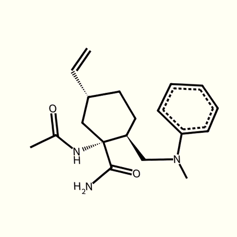 C=C[C@@H]1CC[C@@H](CN(C)c2ccccc2)[C@@](NC(C)=O)(C(N)=O)C1